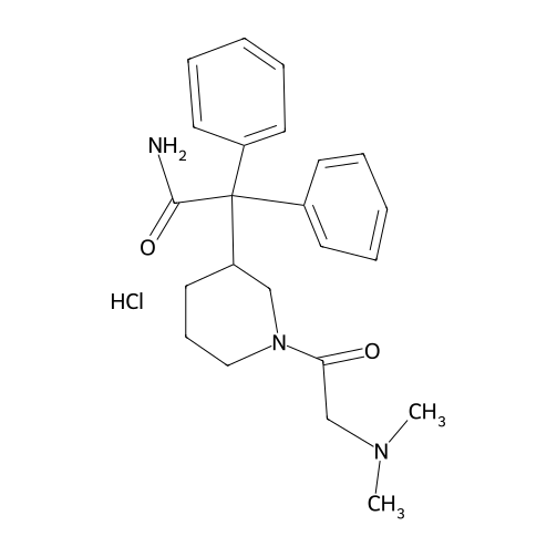 CN(C)CC(=O)N1CCCC(C(C(N)=O)(c2ccccc2)c2ccccc2)C1.Cl